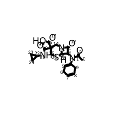 CC(=O)N(C1=CCC=CC1)C1C(=O)N2CC(C(=O)O)(C(=O)NC3CC3)CS[C@H]12